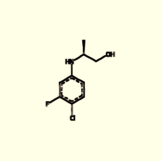 C[C@@H](CO)Nc1ccc(Cl)c(F)c1